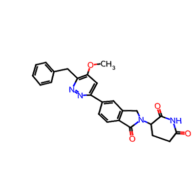 COc1cc(-c2ccc3c(c2)CN(C2CCC(=O)NC2=O)C3=O)nnc1Cc1ccccc1